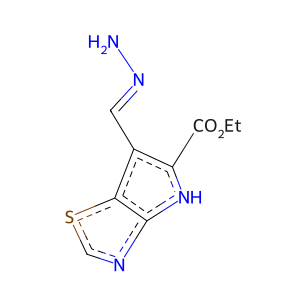 CCOC(=O)c1[nH]c2ncsc2c1/C=N/N